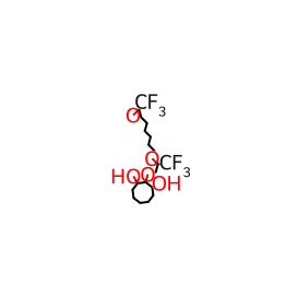 OC1CCCCCC(O)C1OCC(OCCCCCC1OC1C(F)(F)F)C(F)(F)F